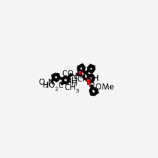 COc1ccccc1OCC(O)CN(C(C)(C)CNCC1=C(C(=O)O)C(c2cccc([N+](=O)[O-])c2)C(C(=O)O)=C(C)N1)C(c1ccccc1)(c1ccccc1)c1ccccc1